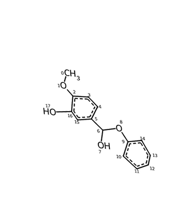 COc1ccc(C(O)Oc2ccccc2)cc1O